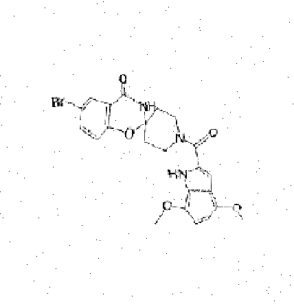 COc1ccc(OC)c2[nH]c(C(=O)N3CCC4(CC3)NC(=O)c3cc(Br)ccc3O4)cc12